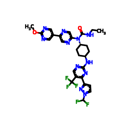 CCNC(=O)N(c1cnc(-c2cnc(OC)nc2)cn1)[C@H]1CC[C@H](Nc2ncc(C(F)(F)F)c(-c3ccn(C(F)F)n3)n2)CC1